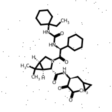 CCC1(NC(=O)N[C@H](C(=O)N2C[C@H]3[C@@H]([C@H]2C(=O)N[C@@H](CC2CC2)C(=O)C(C)=O)C3(C)C)C2CCCCC2)CCCCC1